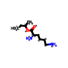 CC(CC(=O)O)OC(=O)[C@@H](N)CCCCN